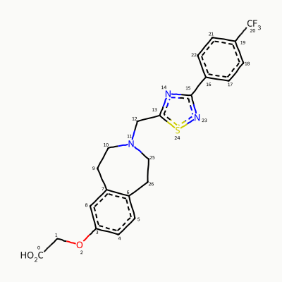 O=C(O)COc1ccc2c(c1)CCN(Cc1nc(-c3ccc(C(F)(F)F)cc3)ns1)CC2